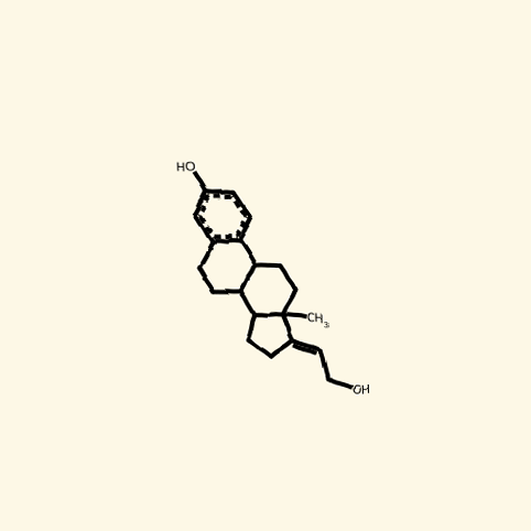 CC12CCC3c4ccc(O)cc4CCC3C1CCC2=CCO